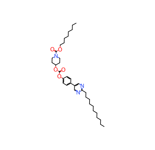 CCCCCCCCCCCc1ncc(-c2ccc(OC(=O)OC3CCN(C(=O)OCCCCCCCC)CC3)cc2)cn1